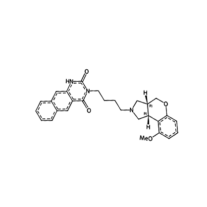 COc1cccc2c1[C@@H]1CN(CCCCn3c(=O)[nH]c4cc5ccccc5cc4c3=O)C[C@@H]1CO2